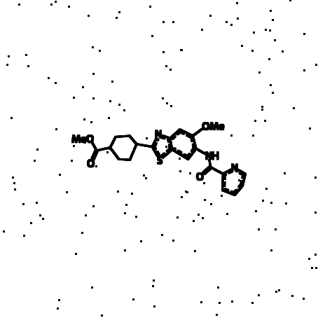 COC(=O)C1CCC(c2nc3cc(OC)c(NC(=O)c4ccccn4)cc3s2)CC1